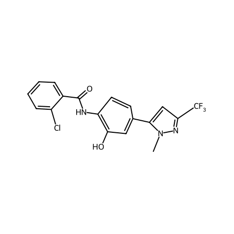 Cn1nc(C(F)(F)F)cc1-c1ccc(NC(=O)c2ccccc2Cl)c(O)c1